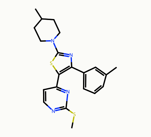 CSc1nccc(-c2sc(N3CCC(C)CC3)nc2-c2cccc(C)c2)n1